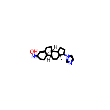 C[C@]12CC[C@H]3[C@@H](CCC4=C/C(=N\O)CC[C@@]43C)C1CCC2n1ccnc1